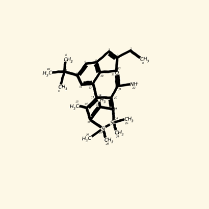 CCC1=Cc2cc(C(C)(C)C)cc(-c3c(C)c4c(C)c(c3C([NH])=O)[Si](C)(C)[Si]4(C)C)c2C1